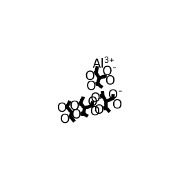 CC(=O)C(C(C)=O)C(=O)[O-].CC(=O)C(C(C)=O)C(=O)[O-].CC(=O)C(C(C)=O)C(=O)[O-].CC(=O)CC(C)=O.[Al+3]